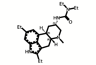 CCc1cc2c3c(c(CC)[nH]c3c1)C[C@@H]1[C@@H]2C[C@H](NC(=O)N(CC)CC)CN1C